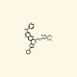 C[Si](C)(C)CCOCNc1nc2cc(Nc3ccnnc3)cnc2cc1-c1nnc(C2CCCC2)s1